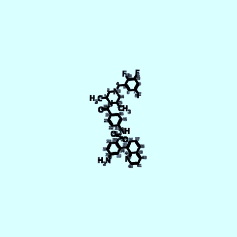 CC1CN(Cc2cc(F)cc(F)c2F)CC(C)N1C(=O)c1ccc(NS(=O)(=O)c2ccc(N)cc2-c2cccc3cccnc23)cc1